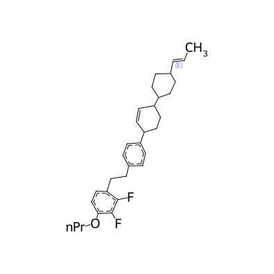 C/C=C/C1CCC(C2C=CC(c3ccc(CCc4ccc(OCCC)c(F)c4F)cc3)CC2)CC1